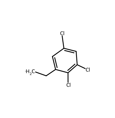 [CH2]Cc1cc(Cl)cc(Cl)c1Cl